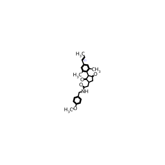 C/C=C/c1cc(C)c(C2C(=O)CC(CC(=O)NCc3ccc(OC)cc3)C2=O)c(C)c1